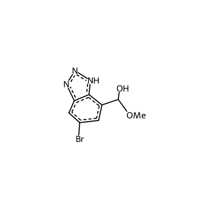 COC(O)c1cc(Br)cc2nn[nH]c12